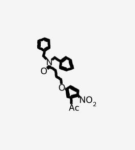 CC(=O)c1cc(OCCCC(=O)N(Cc2ccccc2)Cc2ccccc2)ccc1[N+](=O)[O-]